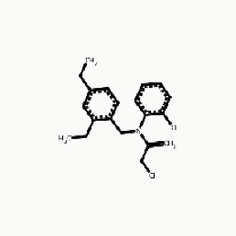 C=C(CCl)N(Cc1ccc(CC)cc1CC)c1ccccc1Cl